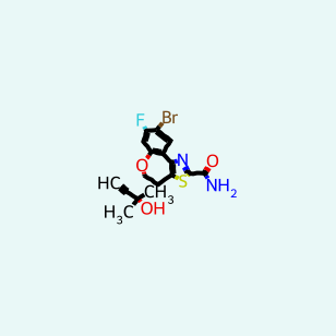 C#CC(C)(C)O.NC(=O)c1nc2c(s1)CCOc1cc(F)c(Br)cc1-2